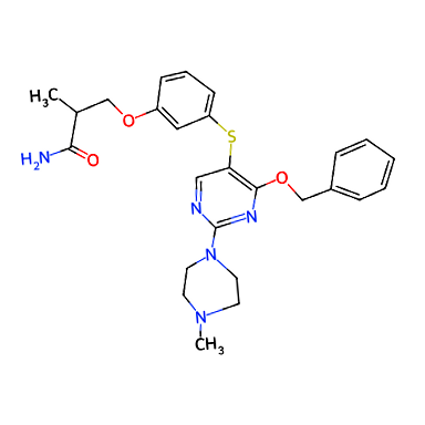 CC(COc1cccc(Sc2cnc(N3CCN(C)CC3)nc2OCc2ccccc2)c1)C(N)=O